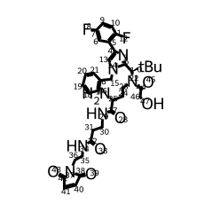 CC(C)(C)[C@H](c1nc(-c2cc(F)ccc2F)cn1Cc1ccccc1)N(CC[C@H](N)C(=O)NCCC(=O)NCCN1C(=O)C=CC1=O)C(=O)CO